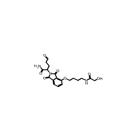 NC(=O)C(CCC=O)N1C(=O)c2cccc(OCCCCNC(=O)CO)c2C1=O